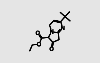 CCOC(=O)C1C(=O)CC2=NC(C(C)(C)C)=CCN21